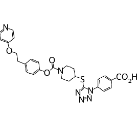 O=C(O)c1ccc(-n2nnnc2SC2CCN(C(=O)Oc3ccc(CCOc4ccncc4)cc3)CC2)cc1